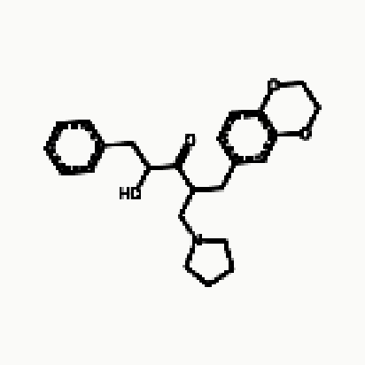 O=C(C(O)Cc1ccccc1)C(Cc1ccc2c(c1)OCCO2)CN1CCCC1